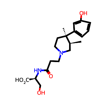 C[C@H]1CN(CCC(=O)N[C@@H](CO)C(=O)O)CC[C@@]1(C)c1cccc(O)c1